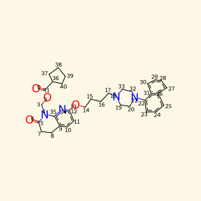 O=C(OCN1C(=O)CCc2ccc(OCCCCN3CCN(c4cccc5ccccc45)CC3)nc21)C1CCCC1